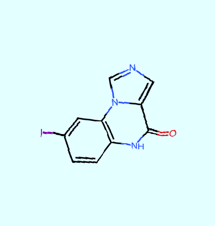 O=c1[nH]c2ccc(I)cc2n2cncc12